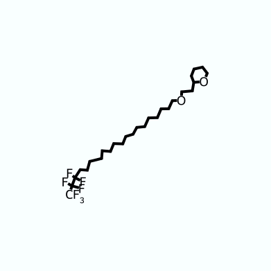 FC(F)(F)C(F)(F)C(F)(F)CCCCCCCCCCCCCCCCCOCCC1CCCCO1